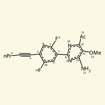 CCCC#Cc1cc(F)c(-c2nc(N)c(OC)c(C(C)=O)n2)cc1F